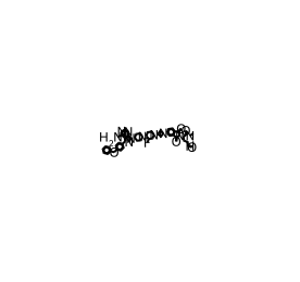 CNC(=O)C(CCC=O)N1C(=O)c2ccc(N3CC(N4CCC(N5CCC(n6nc(-c7ccc(Oc8ccccc8)cc7)c7c(N)ncnc76)CC5)C(F)C4)C3)cc2C1=O